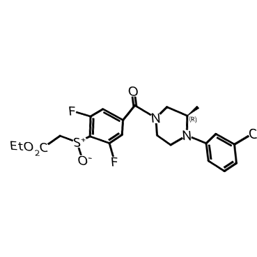 CCOC(=O)C[S+]([O-])c1c(F)cc(C(=O)N2CCN(c3cccc(Cl)c3)[C@H](C)C2)cc1F